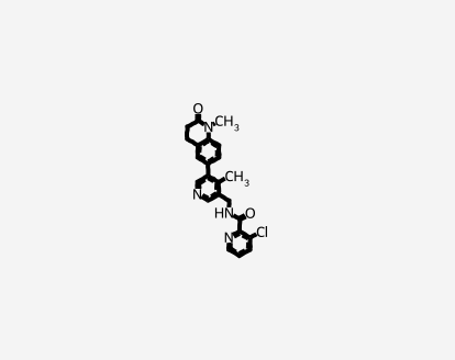 Cc1c(CNC(=O)c2ncccc2Cl)cncc1-c1ccc2c(c1)CCC(=O)N2C